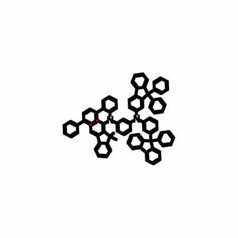 CC1(C)c2ccccc2-c2cccc(N(c3cccc(N(c4cccc(C5(c6ccccc6)c6ccccc6-c6ccccc65)c4)c4ccc5c(c4)C(c4ccccc4)(c4ccccc4)c4ccccc4-5)c3)c3ccccc3-c3ccc(-c4ccccc4)cc3)c21